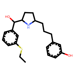 CCSc1cccc(C(O)C2CCC(CCCc3cccc(O)c3)N2)c1